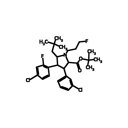 CC(C)(C)CC1C(c2ccc(Cl)cc2F)C(c2cccc(Cl)c2)C(C(=O)OC(C)(C)C)N1CCCF